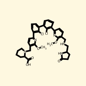 COc1nc(-c2cccc(-c3cccc(-c4ccc(CN5CCCCC5C(=O)O)c(OC)n4)c3Cl)c2Cl)ccc1CNCC1CCC(=O)N1